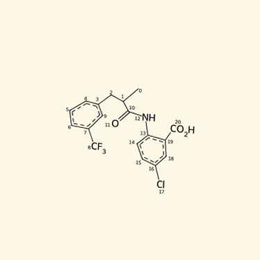 CC(Cc1cccc(C(F)(F)F)c1)C(=O)Nc1ccc(Cl)cc1C(=O)O